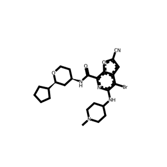 CN1CCC(Nc2nc(C(=O)N[C@@H]3CCO[C@H](C4CCCC4)C3)c3oc(C#N)cc3c2Br)CC1